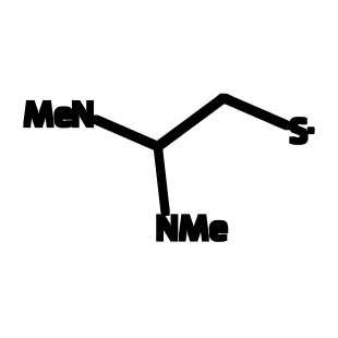 CNC(C[S])NC